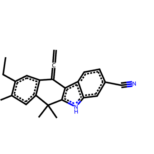 C=C=C1c2cc(CC)c(C)cc2C(C)(C)c2[nH]c3cc(C#N)ccc3c21